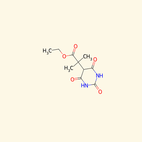 CCOC(=O)C(C)(C)C1C(=O)NC(=O)NC1=O